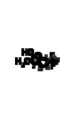 CC(Cc1ccc(C(F)(F)F)cc1)C(=O)O